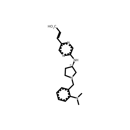 CN(C)c1ccccc1CN1CC[C@@H](Nc2cnc(C=CC(=O)O)cn2)C1